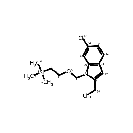 C[Si](C)(C)CCOCn1c(CCl)cc2ccc(Cl)cc21